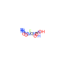 O=C(Cn1ncnn1)N1CCN(c2ccc(N3C[C@H](CNO)OC3=O)cc2F)CCO1